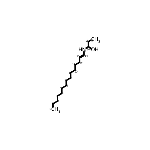 CCCCCCCCCCCCCC=CNC(O)CC